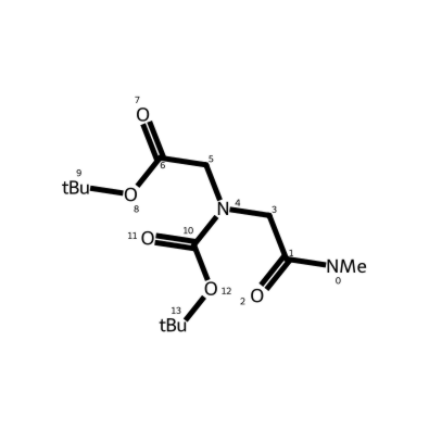 CNC(=O)CN(CC(=O)OC(C)(C)C)C(=O)OC(C)(C)C